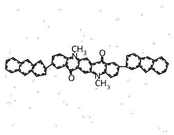 Cn1c2ccc(-c3ccc4cc5ccccc5cc4c3)cc2c(=O)c2cc3c(cc21)c(=O)c1cc(-c2ccc4cc5ccccc5cc4c2)ccc1n3C